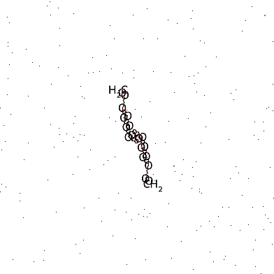 C=CC(=O)OCCCCCCOc1ccc(C(=O)Oc2ccc(C(=O)Oc3ccc(C(=O)Oc4ccc5ccccc5c4-c4c(OC(=O)c5ccc(OC(=O)c6ccc(OC(=O)c7ccc(OCCCCCCOC(=O)C=C)cc7)cc6)cc5)ccc5ccccc45)cc3)cc2)cc1